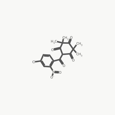 CC1(C)C(=O)C(C(=O)c2ccc(Cl)cc2[N+](=O)[O-])C(=O)C(C)(C)C1=O